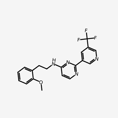 COc1ccccc1CCNc1ccnc(-c2cncc(C(F)(F)F)c2)n1